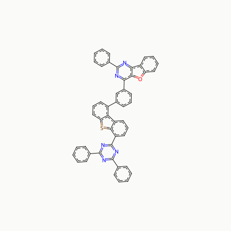 c1ccc(-c2nc(-c3ccccc3)nc(-c3cccc4c3sc3cccc(-c5cccc(-c6nc(-c7ccccc7)nc7c6oc6ccccc67)c5)c34)n2)cc1